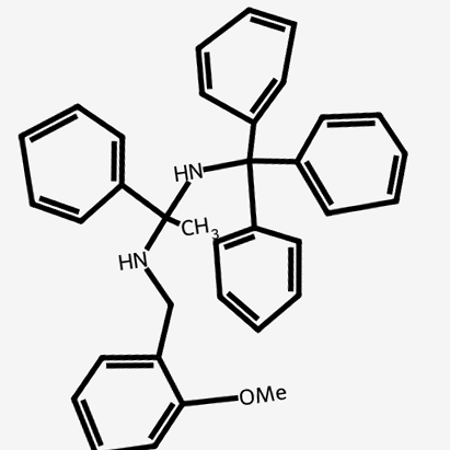 COc1ccccc1CNC(C)(NC(c1ccccc1)(c1ccccc1)c1ccccc1)c1ccccc1